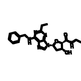 CCNC(=O)[C@H]1O[C@@H](n2cnc3c(NCc4ccccc4)nc(CC)nc32)C[C@@H]1O